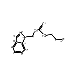 CC(C)CCOC(=O)OCn1ncc2ccccc21